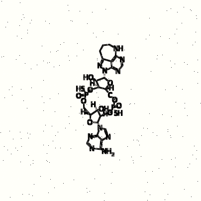 Nc1ncnc2c1ncn2[C@@H]1O[C@@H]2COP(=O)(S)O[C@H]3[C@@H](O)[C@H](n4nc5c6c(ncnc64)NCCC5)O[C@@H]3COP(=O)(S)O[C@@H]1[C@@H]2O